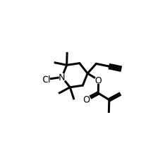 C#CCC1(OC(=O)C(=C)C)CC(C)(C)N(Cl)C(C)(C)C1